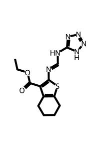 CCOC(=O)c1c(N=CNc2nnn[nH]2)sc2c1CCCC2